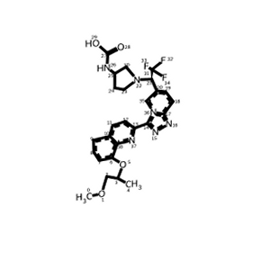 COCC(C)Oc1cccc2ccc(-c3nnc4ccc([C@@H](N5CCC(NC(=O)O)C5)C(F)(F)F)cn34)nc12